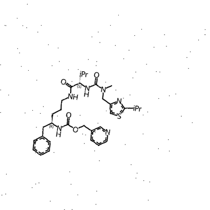 CC(C)c1nc(CN(C)C(=O)N[C@H](C(=O)NCCC[C@H](Cc2ccccc2)NC(=O)OCc2cccnc2)C(C)C)cs1